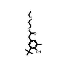 CCOCCOC(=O)Cc1cc(C)c(O)c(C(C)(C)C)c1